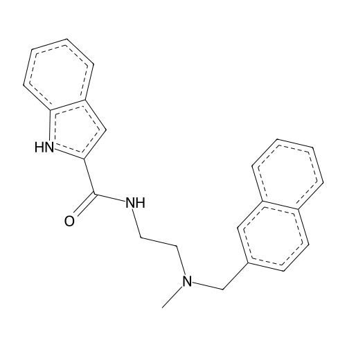 CN(CCNC(=O)c1cc2ccccc2[nH]1)Cc1ccc2ccccc2c1